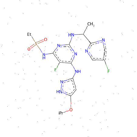 CCS(=O)(=O)Nc1nc(NC(C)c2ncc(F)cn2)nc(Nc2cc(OC(C)C)[nH]n2)c1F